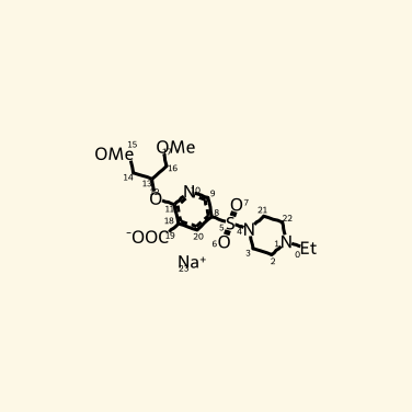 CCN1CCN(S(=O)(=O)c2cnc(OC(COC)COC)c(C(=O)[O-])c2)CC1.[Na+]